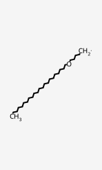 [CH2]CCCCOCCCCCCCCCCCCCCCCCCCCCC